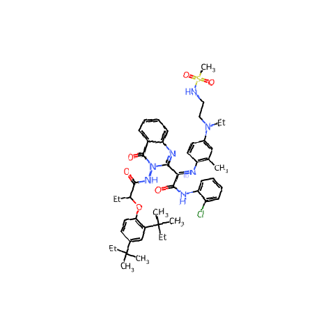 CCC(Oc1ccc(C(C)(C)CC)cc1C(C)(C)CC)C(=O)Nn1c(/C(=N\c2ccc(N(CC)CCNS(C)(=O)=O)cc2C)C(=O)Nc2ccccc2Cl)nc2ccccc2c1=O